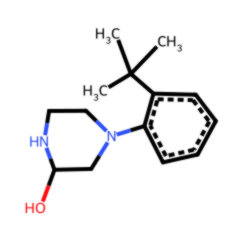 CC(C)(C)c1ccccc1N1CCNC(O)C1